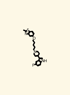 Cc1nc2cc(OCCCCCN3CC=C(c4c[nH]c5ccc(F)cc45)CC3)ccc2s1